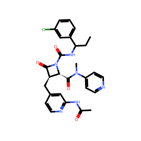 CCC(NC(=O)N1C(=O)[C@H](Cc2ccnc(NC(C)=O)c2)[C@H]1C(=O)N(C)c1ccncc1)c1cccc(Cl)c1